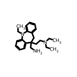 CCN(CC)CCC1(CN)Cc2ccccc2N(CC)c2ccccc21